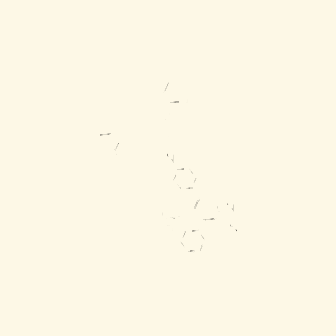 C=CC(=O)OCCCN(CCCOC(=O)C=C)c1ccc(/C=C2\CS(=O)(=O)c3ccccc3C2=C(C#N)C#N)c(C)c1